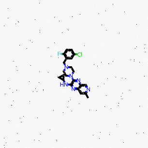 Cc1cc2nc(NC3CC3)c(N3CCN(Cc4cc(Cl)ccc4F)CC3)nc2cn1